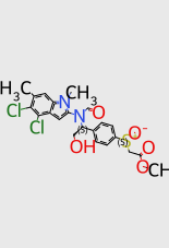 COC(=O)C[S@@+]([O-])c1ccc([C@@H](CO)N(C=O)c2cc3c(Cl)c(Cl)c(C)cc3n2C)cc1